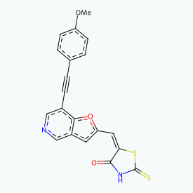 COc1ccc(C#Cc2cncc3cc(C=C4SC(=S)NC4=O)oc23)cc1